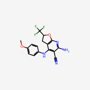 COc1ccc(Nc2c(C#N)c(N)nc3c2CC(C(F)(F)F)O3)cc1